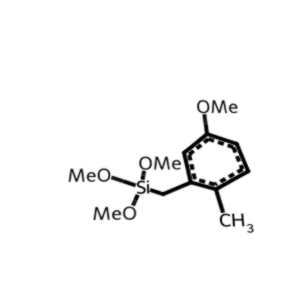 COc1ccc(C)c(C[Si](OC)(OC)OC)c1